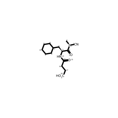 CN(C#N)C(=O)[C@H](CC1CCCCC1)NC(=O)CCC(=O)O